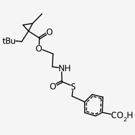 CC1CC1(CC(C)(C)C)C(=O)OCCNC(=O)SCc1ccc(C(=O)O)cc1